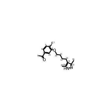 CC(=O)c1ccc(F)c(OCCCCc2c(C)n[nH]c2C)c1